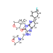 C[C@@H](C1CCOCC1)n1c(=O)c(NCCN2CCOCC2)nc2ccc(-c3ccc(F)cc3)nc21